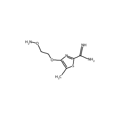 Cc1sc(C(=N)N)nc1OCCON